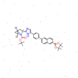 CC(C)(C)OC(=O)N1[C@@H]2C[C@@H]2C[C@H]1c1ncc(-c2ccc(-c3ccc4cc(B5OC(C)(C)C(C)(C)O5)ccc4c3)cc2)[nH]1